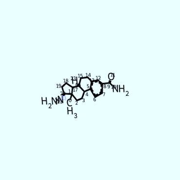 CC12CCC3c4ccc(C(N)=O)cc4CC[C@H]3C1CC/C2=N\N